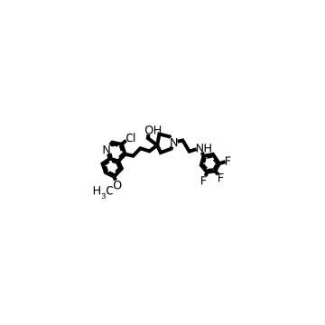 COc1ccc2ncc(Cl)c(CCCC3(CO)CCN(CCNc4cc(F)c(F)c(F)c4)CC3)c2c1